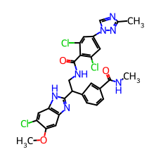 CNC(=O)c1cccc(C(CNC(=O)c2c(Cl)cc(-n3cnc(C)n3)cc2Cl)c2nc3cc(OC)c(Cl)cc3[nH]2)c1